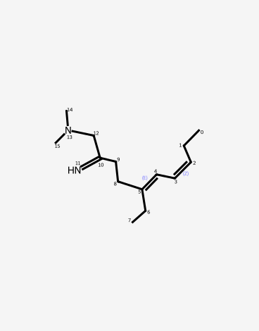 CC/C=C\C=C(/CC)CCC(=N)CN(C)C